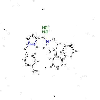 Cl.Cl.FC(F)(F)c1ccc(Cn2ccc(CN3CCC(c4ccccc4)(c4ccccc4)CC3)n2)cc1